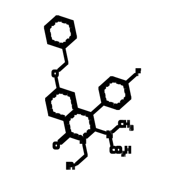 CC(C)Cn1c(N(C)C(=O)O)c(-c2ccc(F)cc2)c2cc(OCc3ccccc3)ccc2c1=O